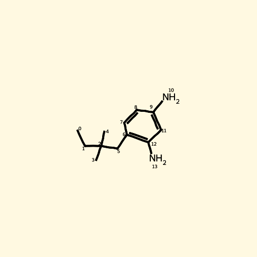 CCC(C)(C)Cc1ccc(N)cc1N